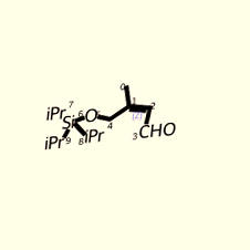 C/C(=C/C=O)CO[Si](C(C)C)(C(C)C)C(C)C